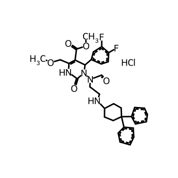 COCC1=C(C(=O)OC)C(c2ccc(F)c(F)c2)N(N(C=O)CCNC2CCC(c3ccccc3)(c3ccccc3)CC2)C(=O)N1.Cl